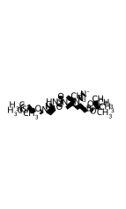 CC1(C)OB(CCC[C@H]2CN(S(=O)(=O)Nc3ccn(COCC[Si](C)(C)C)n3)C[C@]2(C)N=[N+]=[N-])OC1(C)C